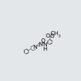 COC(=O)c1cccc(NC(=O)N2CC(N3CCC(c4ccccc4)CC3)C2)c1